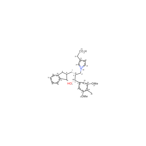 COc1cc([C@H](O)[C@H](CC2Cc3ccccc3C2)Cn2ccc(CC(=O)O)c2)cc(OC)c1C